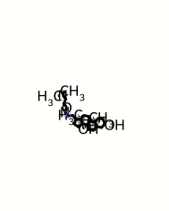 CN(C)CCO/N=C\CC1CC[C@@]2(O)[C@@H]3CCC4CC(O)CC[C@]4(C)[C@@H]3CC[C@]12C